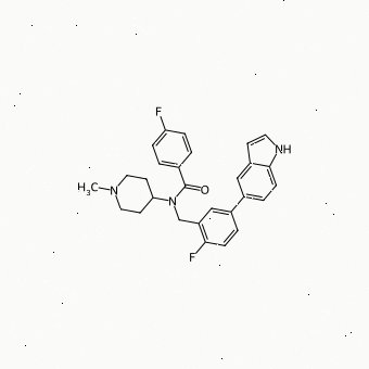 CN1CCC(N(Cc2cc(-c3ccc4[nH]ccc4c3)ccc2F)C(=O)c2ccc(F)cc2)CC1